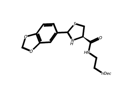 CCCCCCCCCCCCNC(=O)[C@@H]1CSC(c2ccc3c(c2)OCO3)N1